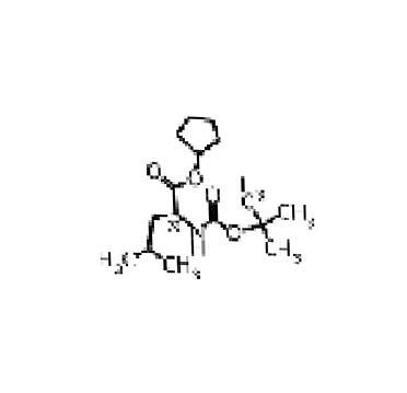 CC(C)C[C@H](NC(=O)OC(C)(C)C)C(=O)OC1CCCC1